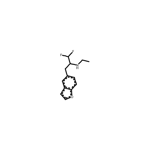 CCNC(Cc1ccc2occc2c1)C(F)F